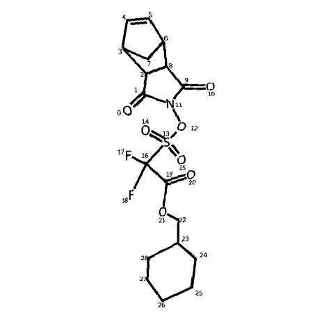 O=C1C2C3C=CC(C3)C2C(=O)N1OS(=O)(=O)C(F)(F)C(=O)OCC1CCCCC1